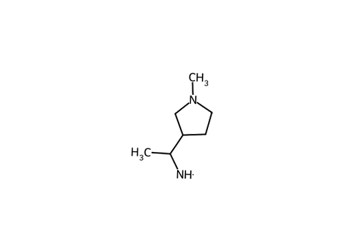 CC([NH])C1CCN(C)C1